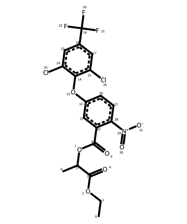 CCOC(=O)C(C)OC(=O)c1cc(Oc2c(Cl)cc(C(F)(F)F)cc2Cl)ccc1[N+](=O)[O-]